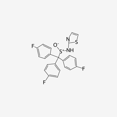 [O-][S+](Nc1nccs1)C(c1ccc(F)cc1)(c1ccc(F)cc1)c1ccc(F)cc1